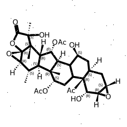 CC(=O)O[C@H]1[C@@H]2[C@H]([C@H](C)[C@H]3O[C@]34OC(=O)[C@@](C)(O)[C@]24C)[C@@]2(C)[C@@H](OC(C)=O)CC3C([C@H]12)[C@@H](O)C[C@H]1C[C@@H]2O[C@@H]2[C@H](O)[C@]31C(C)=O